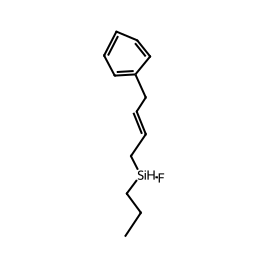 CCC[SiH](F)CC=CCc1ccccc1